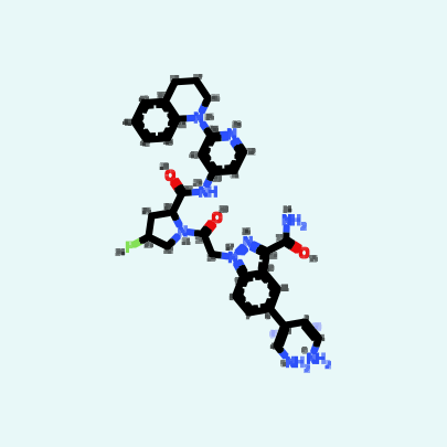 N/C=C\C(=C/N)c1ccc2c(c1)c(C(N)=O)nn2CC(=O)N1CC(F)CC1C(=O)Nc1ccnc(N2CCCc3ccccc32)c1